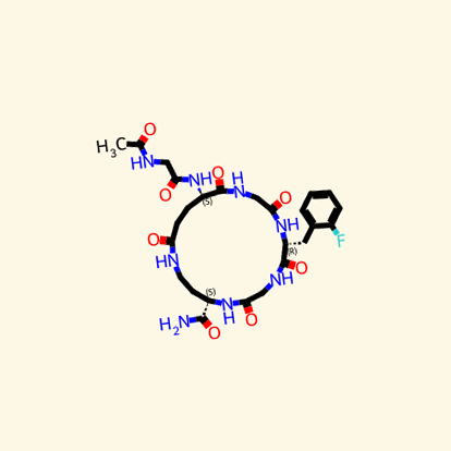 CC(=O)NCC(=O)N[C@H]1CCC(=O)NCC[C@@H](C(N)=O)NC(=O)CNC(=O)[C@@H](Cc2ccccc2F)NC(=O)CNC1=O